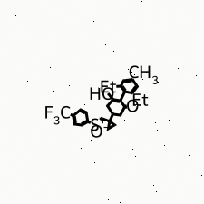 CCc1cc(C)cc(CC)c1C1=C(O)CC(C2(C[S+]([O-])c3ccc(C(F)(F)F)cc3)CC2)CC1=O